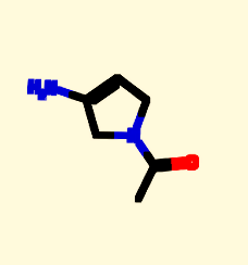 CC(=O)N1CC=C(N)C1